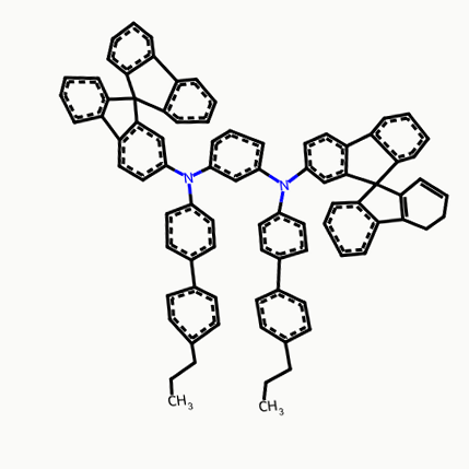 CCCc1ccc(-c2ccc(N(c3cccc(N(c4ccc(-c5ccc(CCC)cc5)cc4)c4ccc5c(c4)C4(c6ccccc6-c6ccccc64)c4ccccc4-5)c3)c3ccc4c(c3)C3(C5=C(CCC=C5)c5ccccc53)c3ccccc3-4)cc2)cc1